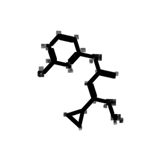 C=C(/C=C(\NN)C1CC1)Nc1ccnc(Cl)n1